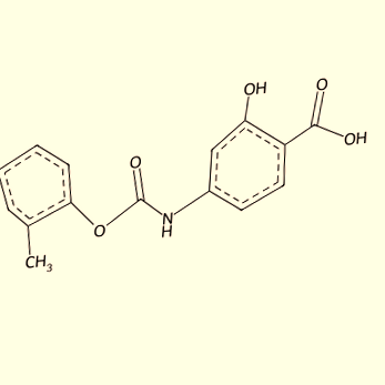 Cc1ccccc1OC(=O)Nc1ccc(C(=O)O)c(O)c1